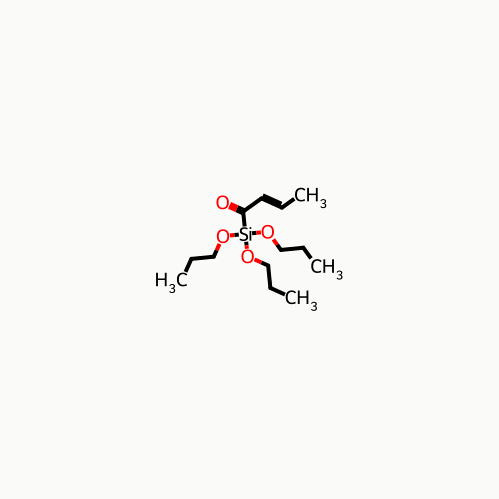 CC=CC(=O)[Si](OCCC)(OCCC)OCCC